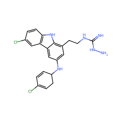 N=C(NN)NCCc1cc(NC2C=CC(Cl)=CC2)cc2c1[nH]c1ccc(Cl)cc12